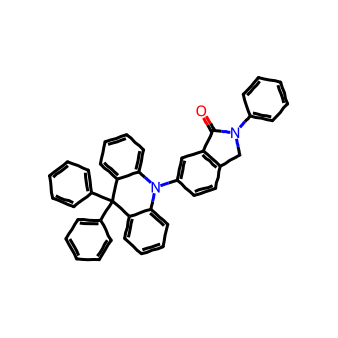 O=C1c2cc(N3c4ccccc4C(c4ccccc4)(c4ccccc4)c4ccccc43)ccc2CN1c1ccccc1